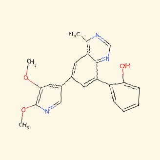 COc1cc(-c2cc(-c3ccccc3O)c3ncnc(C)c3c2)cnc1OC